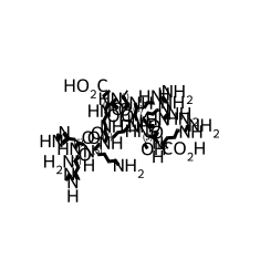 C[C@H](NC(=O)[C@H](CCC(=O)O)NC(=O)CNC(=O)[C@H](CCCCN)NC(=O)[C@H](CCCCN)NC(=O)[C@H](Cc1c[nH]cn1)NC(=O)[C@@H](N)Cc1c[nH]cn1)C(=O)N[C@@H](CCCNC(=N)N)C(=O)N[C@@H](CCCNC(=N)N)C(=O)N[C@@H](CO)C(=O)N[C@@H](CCCNC(=N)N)C(=O)O